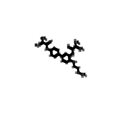 C=C(C)C(=O)Oc1ccc(-c2ccc(OCCOC)c(OC(=O)C(=C)C)c2)cc1